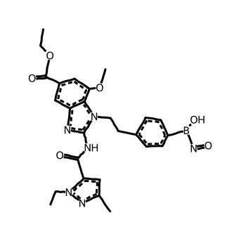 CCOC(=O)c1cc(OC)c2c(c1)nc(NC(=O)c1cc(C)nn1CC)n2CCc1ccc(B(O)N=O)cc1